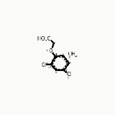 C.O=C(O)COc1ccc(Cl)cc1Cl